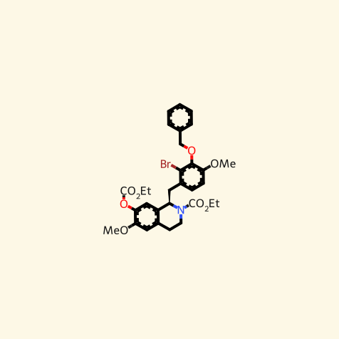 CCOC(=O)Oc1cc2c(cc1OC)CCN(C(=O)OCC)[C@@H]2Cc1ccc(OC)c(OCc2ccccc2)c1Br